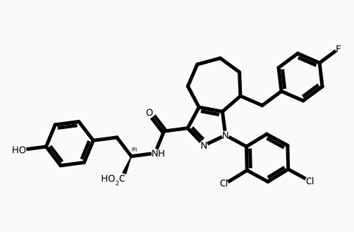 O=C(N[C@H](Cc1ccc(O)cc1)C(=O)O)c1nn(-c2ccc(Cl)cc2Cl)c2c1CCCCC2Cc1ccc(F)cc1